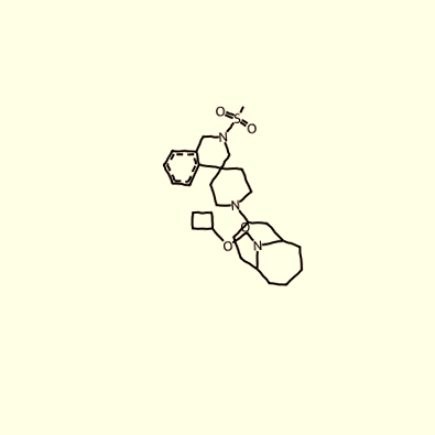 CS(=O)(=O)N1Cc2ccccc2C2(CCN(C3CCC4CCCCC(C3)N4C(=O)OC3CCC3)CC2)C1